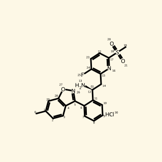 Cc1ccc2c(-c3ccccc3[C@@H](N)Cc3nc(S(C)(=O)=O)ccc3F)noc2c1.Cl